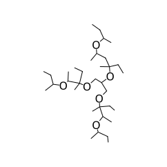 CCC(C)OC(C)CC(C)(CC)OC(COC(C)(CC)C(C)OC(C)CC)COC(C)(CC)C(C)OC(C)CC